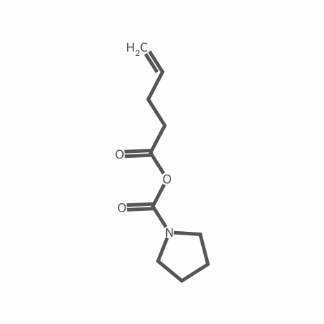 C=CCCC(=O)OC(=O)N1CCCC1